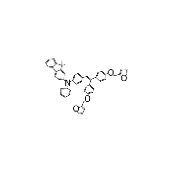 CC1(C)c2ccccc2-c2ccc(N(c3ccccc3)c3ccc(C=C(c4ccc(OCc5ccco5)cc4)c4ccc(OCc5ccco5)cc4)cc3)cc21